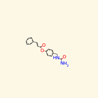 NC(=O)NCc1ccc(OC(=O)C=Cc2ccccc2)cc1